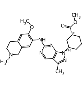 COC(=O)[C@@H]1CCC[C@@H](n2nc(C)c3cnc(Nc4cc5c(cc4OC)CCN(C)C5)nc32)C1